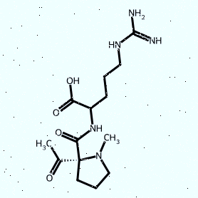 CC(=O)[C@@]1(C(=O)NC(CCCNC(=N)N)C(=O)O)CCCN1C